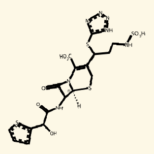 O=C(O)C1=C(C(CCNS(=O)(=O)O)Sc2nnn[nH]2)CS[C@H]2C(NC(=O)C(O)c3cccs3)C(=O)N12